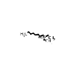 CCCCCCC[CH2][GeH]([CH2]C)[CH2]C